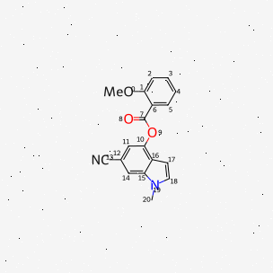 COc1ccccc1C(=O)Oc1cc(C#N)cc2c1ccn2C